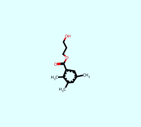 Cc1cc(C)c(C)c(C(=O)OCCCO)c1